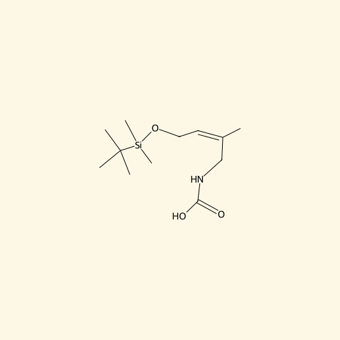 CC(=CCO[Si](C)(C)C(C)(C)C)CNC(=O)O